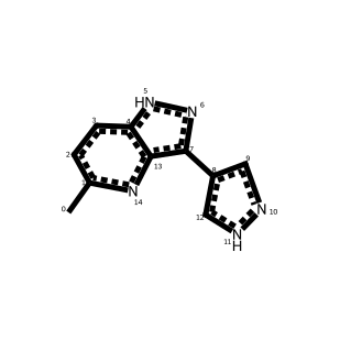 Cc1ccc2[nH]nc(-c3cn[nH]c3)c2n1